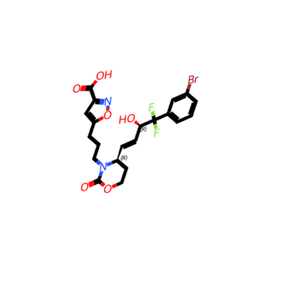 O=C(O)c1cc(CCCN2C(=O)OCC[C@@H]2C=C[C@@H](O)C(F)(F)c2cccc(Br)c2)on1